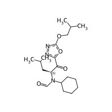 CC(C)COc1nnc(C(=O)[C@H](CC(C)C)N(C=O)C2CCCCC2)o1